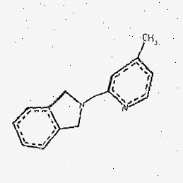 Cc1ccnc(N2Cc3ccccc3C2)c1